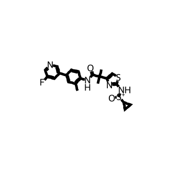 Cc1cc(-c2cncc(F)c2)ccc1NC(=O)C(C)(C)c1csc(N[S+]([O-])C2CC2)n1